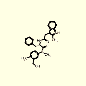 Cc1ccc(N(C)C(=O)[C@H](Cc2ccccc2)NC(=O)Cc2c(C)[nH]c3ccccc23)cc1CO